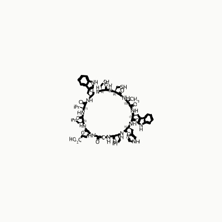 CC(C)C[C@@H]1NC(=O)[C@H](Cc2c[nH]cn2)NC(=O)[C@H](Cc2c[nH]c3ccccc23)NC(=O)[C@H](C)NC(=O)[C@H](CS)NC(=O)[C@H](CS)NC(=O)[C@H](Cc2c[nH]c3ccccc23)NC(=O)[C@H](C(C)C)NC(=O)[C@H](CC(C)C)NC(=O)[C@H](CCC(=O)O)NC(=O)CNC1=O